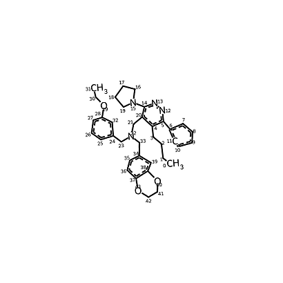 CCCCc1c(-c2ccccc2)nnc(N2CCCC2)c1CN(Cc1cccc(OCC)c1)Cc1ccc2c(c1)OCCO2